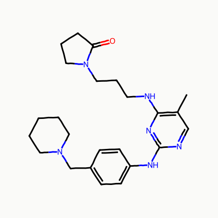 Cc1cnc(Nc2ccc(CN3CCCCC3)cc2)nc1NCCCN1CCCC1=O